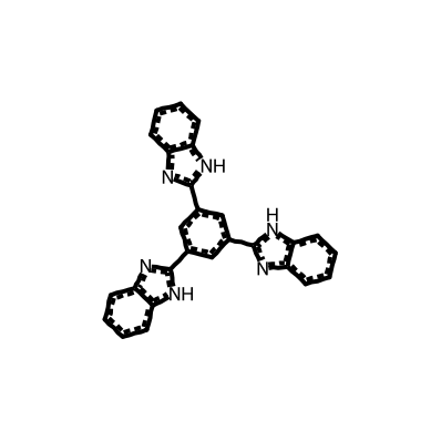 c1ccc2[nH]c(-c3cc(-c4nc5ccccc5[nH]4)cc(-c4nc5ccccc5[nH]4)c3)nc2c1